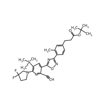 C#Cc1nc(N2CCC(F)(F)C2)c([Si](C)(C)C)cc1-c1nc(-c2ccc(CCC(=O)OC(C)(C)C)cc2C)no1